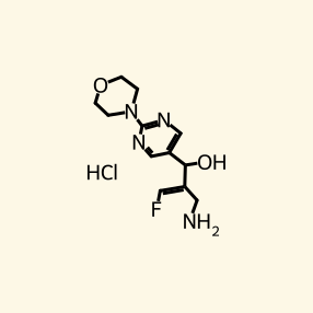 Cl.NCC(=CF)C(O)c1cnc(N2CCOCC2)nc1